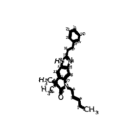 CC/C=C/CN1C(=O)C(C)(C)c2cc3[nH]c(CCc4ccccc4)nc3cc21